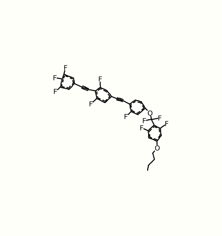 CCCCOc1cc(F)c(C(F)(F)Oc2ccc(C#Cc3cc(F)c(C#Cc4cc(F)c(F)c(F)c4)c(F)c3)c(F)c2)c(F)c1